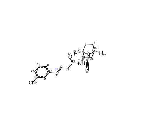 N#CN1[C@H]2CC[C@@H]1[C@H](NC(=O)C/C=C/c1cccc(Cl)c1)C2